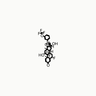 C[C@]12C=CC(=O)C=C1[C@@H](F)C[C@H]1[C@@H]3C[C@H]4CN(c5cccc(OC(F)(F)F)c5)O[C@@]4(C(=O)CO)[C@@]3(C)C[C@H](O)[C@@]12F